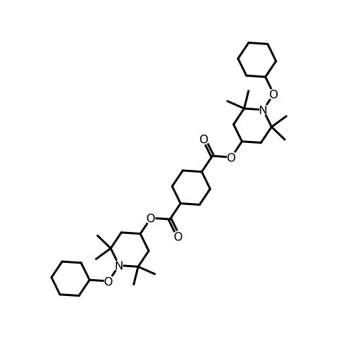 CC1(C)CC(OC(=O)C2CCC(C(=O)OC3CC(C)(C)N(OC4CCCCC4)C(C)(C)C3)CC2)CC(C)(C)N1OC1CCCCC1